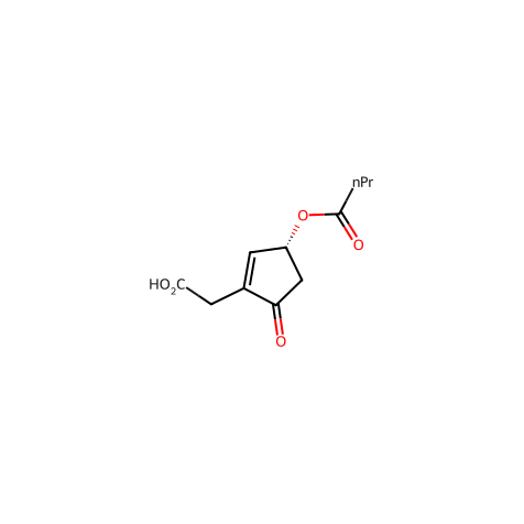 CCCC(=O)O[C@H]1C=C(CC(=O)O)C(=O)C1